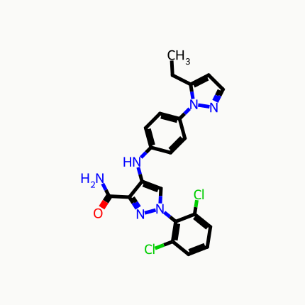 CCc1ccnn1-c1ccc(Nc2cn(-c3c(Cl)cccc3Cl)nc2C(N)=O)cc1